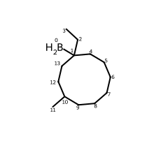 BC1(CC)CCCCCCC(C)CC1